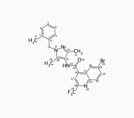 Cc1ccccc1Cn1nc(C)c(NC(=O)c2cc(C(F)(F)F)nc3ccc(Br)cc23)c1C